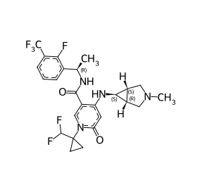 C[C@@H](NC(=O)c1cn(C2(C(F)F)CC2)c(=O)cc1N[C@H]1[C@@H]2CN(C)C[C@@H]21)c1cccc(C(F)(F)F)c1F